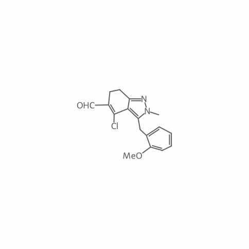 COc1ccccc1Cc1c2c(nn1C)CCC(C=O)=C2Cl